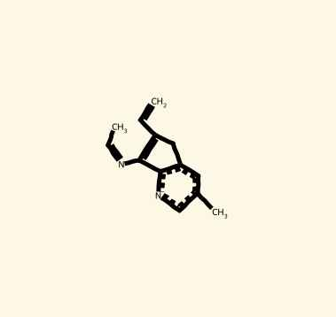 C=CC1=C(/N=C\C)c2ncc(C)cc2C1